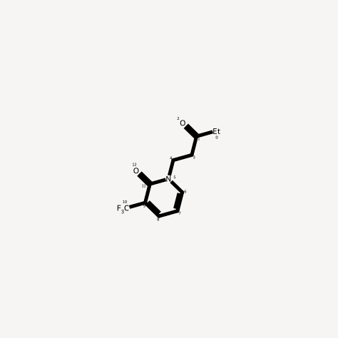 CCC(=O)CCn1cccc(C(F)(F)F)c1=O